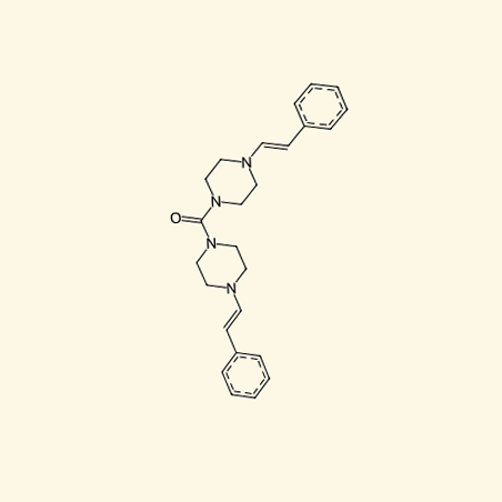 O=C(N1CCN(C=Cc2ccccc2)CC1)N1CCN(C=Cc2ccccc2)CC1